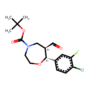 CC(C)(C)OC(=O)N1CCO[C@@H](c2ccc(Cl)c(F)c2)[C@H](C=O)C1